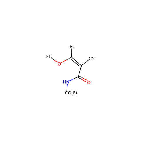 CCOC(=O)NC(=O)C(C#N)=C(CC)OCC